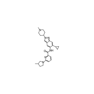 CC1CCN(c2cccc(C(=O)Nc3cc4cn(C5CCN(C)CC5)nc4cc3C3CC3)n2)C1